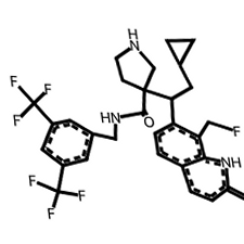 O=C(NCc1cc(C(F)(F)F)cc(C(F)(F)F)c1)C1(C(CC2CC2)c2ccc3ccc(=O)[nH]c3c2CF)CCNC1